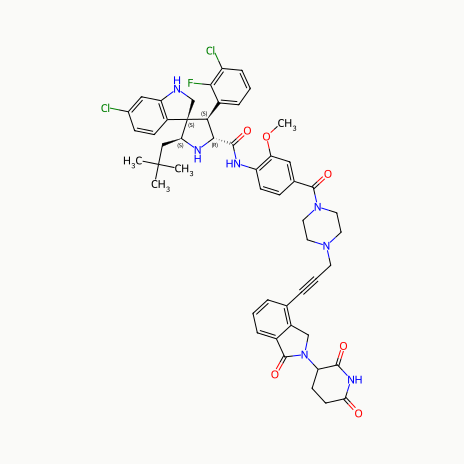 COc1cc(C(=O)N2CCN(CC#Cc3cccc4c3CN(C3CCC(=O)NC3=O)C4=O)CC2)ccc1NC(=O)[C@@H]1N[C@@H](CC(C)(C)C)[C@@]2(CNc3cc(Cl)ccc32)[C@H]1c1cccc(Cl)c1F